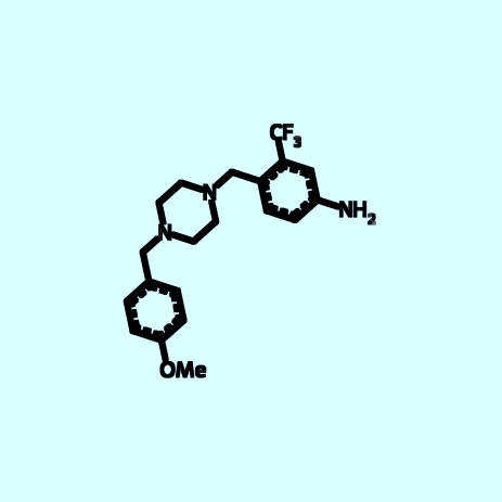 COc1ccc(CN2CCN(Cc3ccc(N)cc3C(F)(F)F)CC2)cc1